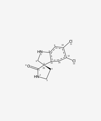 O=C1NCC[C@]12CNc1cc(Cl)c(Cl)cc12